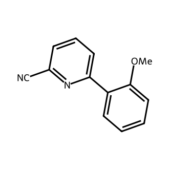 COc1ccccc1-c1cccc(C#N)n1